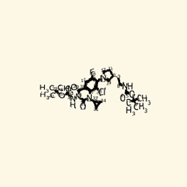 CC(C)(C)OC(=O)NCC[C@H]1CCN(c2c(F)cc3c(=O)n(NC(=O)OC(C)(C)C)c(=O)n(C4CC4)c3c2Cl)C1